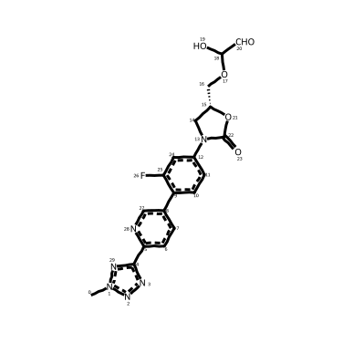 Cn1nnc(-c2ccc(-c3ccc(N4C[C@H](COC(O)C=O)OC4=O)cc3F)cn2)n1